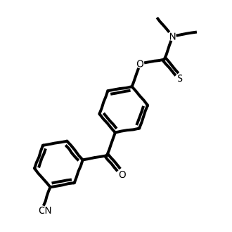 CN(C)C(=S)Oc1ccc(C(=O)c2cccc(C#N)c2)cc1